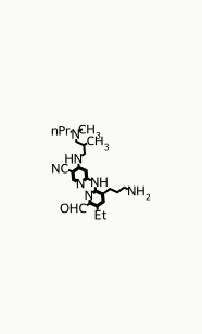 CCCN(C)CC(C)CNc1cc(Nc2nc(C=O)c(CC)cc2CCCN)ncc1C#N